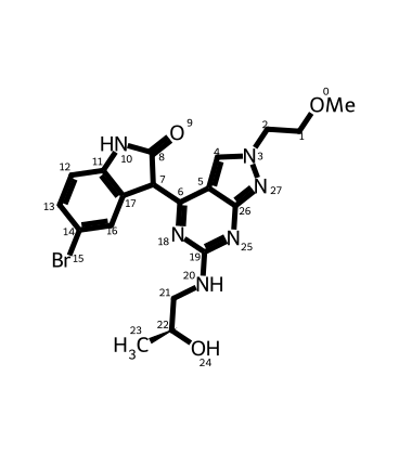 COCCn1cc2c(C3C(=O)Nc4ccc(Br)cc43)nc(NC[C@H](C)O)nc2n1